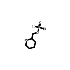 CCP(=O)(CC)OCC1CCCCN1